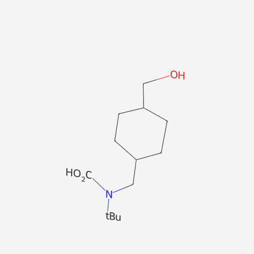 CC(C)(C)N(CC1CCC(CO)CC1)C(=O)O